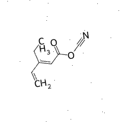 C=CC(=CC(=O)OC#N)CC